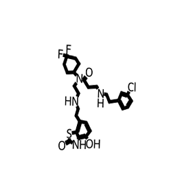 O=C(CCNCCc1cccc(Cl)c1)N(CCNCCc1ccc(O)c2[nH]c(=O)sc12)C1CCC(F)(F)CC1